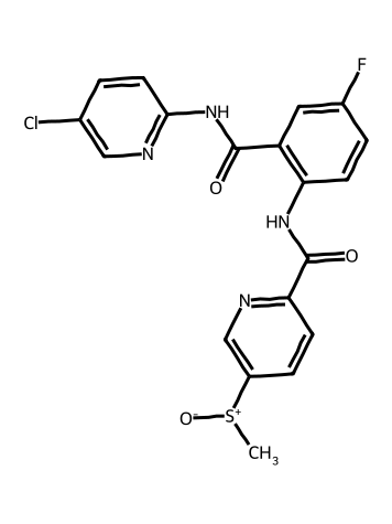 C[S+]([O-])c1ccc(C(=O)Nc2ccc(F)cc2C(=O)Nc2ccc(Cl)cn2)nc1